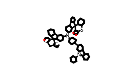 c1ccc(-n2c3ccccc3c3ccc(-c4ccc(N(c5ccc6c(c5)-c5ccccc5C65c6ccccc6Cc6ccccc65)c5ccc6c(c5)C5(c7ccccc7Sc7ccccc75)c5ccccc5-6)cc4)cc32)cc1